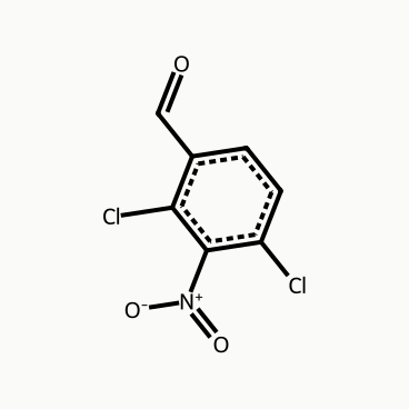 O=Cc1ccc(Cl)c([N+](=O)[O-])c1Cl